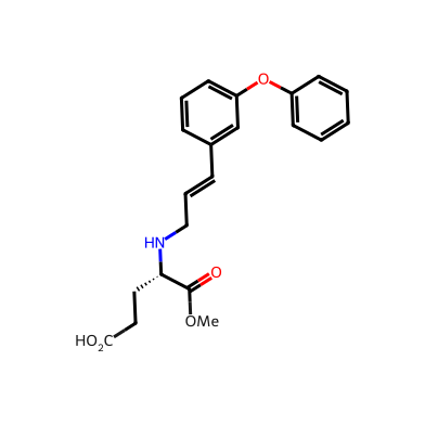 COC(=O)[C@H](CCC(=O)O)NCC=Cc1cccc(Oc2ccccc2)c1